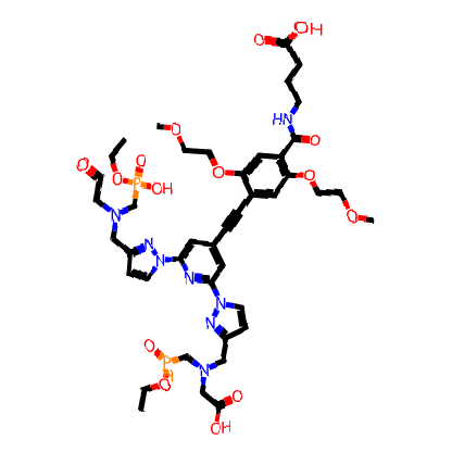 CCO[PH](=O)CN(CC(=O)O)Cc1ccn(-c2cc(C#Cc3cc(OCCOC)c(C(=O)NCCCC(=O)O)cc3OCCOC)cc(-n3ccc(CN(CC=O)CP(=O)(O)OCC)n3)n2)n1